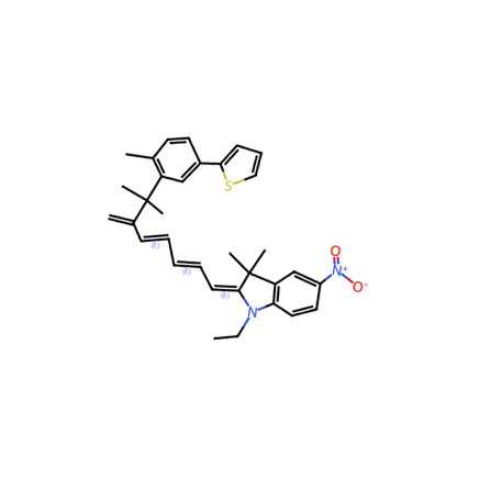 C=C(/C=C/C=C/C=C1/N(CC)c2ccc([N+](=O)[O-])cc2C1(C)C)C(C)(C)c1cc(-c2cccs2)ccc1C